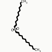 CCCCCCCCCCC=CS(=O)(=O)C=CCCCCCCCCCC